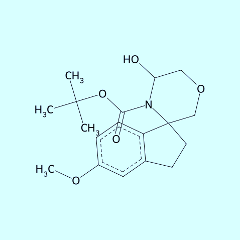 COc1ccc2c(c1)CCC21COCC(O)N1C(=O)OC(C)(C)C